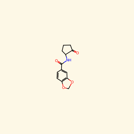 O=C(NC1CCCC1=O)c1ccc2c(c1)OCO2